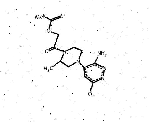 CNC(=O)OCC(=O)N1CCN(c2cc(Cl)nnc2N)CC1C